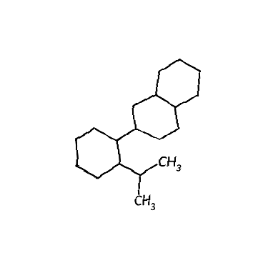 CC(C)C1CCCCC1C1CCC2CCCCC2C1